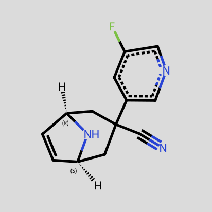 N#CC1(c2cncc(F)c2)C[C@H]2C=C[C@@H](C1)N2